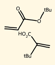 C=C(C(=O)O)C(C)(C)C.C=CC(=O)OC(C)(C)C